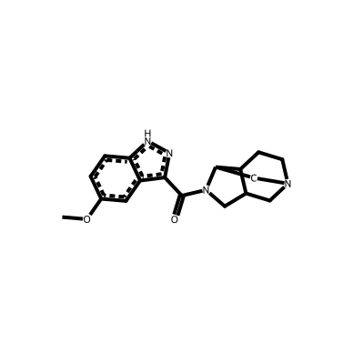 COc1ccc2[nH]nc(C(=O)N3CC4CN5CCC4C3C5)c2c1